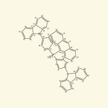 O=P(c1ccc(C2c3ccccc3-c3ccccc32)cc1)(c1ccc(-n2c3ccccc3c3ccccc32)cc1)c1c2ccccc2cc2ccccc12